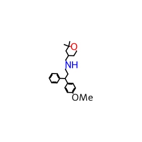 COc1ccc(C(CCNCC2CCOC(C)(C)C2)c2ccccc2)cc1